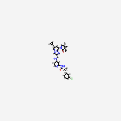 O=C(Nc1cc(NCc2cn3cc(C4CC4)cc(N4C[C@H]5C[C@H]5C4=O)c3n2)ccn1)[C@H]1C[C@@H]1c1cccc(Cl)c1